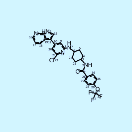 O=C(NC1CCC(Nc2cc(-c3c[nH]c4ncccc34)cc(Cl)n2)CC1)c1ccc(OC(F)(F)F)cc1